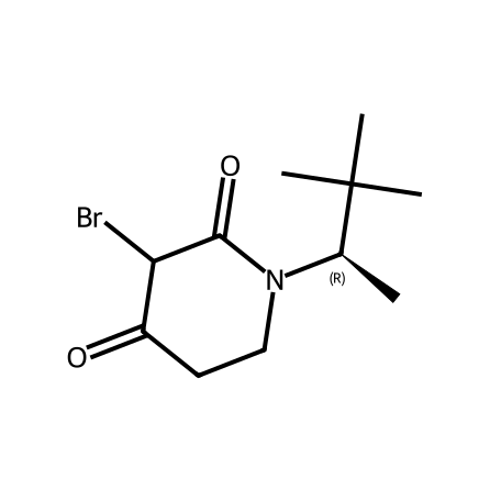 C[C@@H](N1CCC(=O)C(Br)C1=O)C(C)(C)C